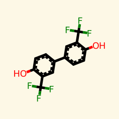 Oc1ccc(-c2ccc(O)c(C(F)(F)F)c2)cc1C(F)(F)F